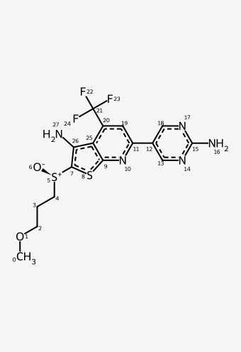 COCCC[S@@+]([O-])c1sc2nc(-c3cnc(N)nc3)cc(C(F)(F)F)c2c1N